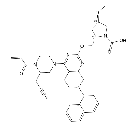 C=CC(=O)N1CCN(c2nc(OC[C@@H]3C[C@@H](OC)CN3C(=O)O)nc3c2CCN(c2cccc4ccccc24)C3)CC1CC#N